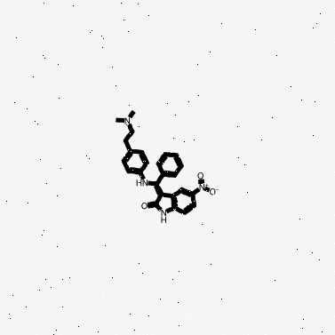 CN(C)CCc1ccc(N/C(=C2\C(=O)Nc3ccc([N+](=O)[O-])cc32)c2ccccc2)cc1